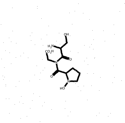 NC(CO)C(=O)N(CC(=O)O)C(=O)C1CCCN1O